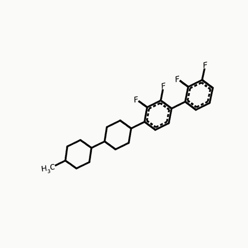 CC1CCC(C2CCC(c3ccc(-c4cccc(F)c4F)c(F)c3F)CC2)CC1